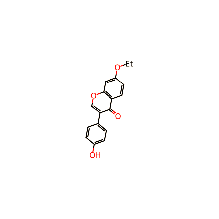 CCOc1ccc2c(=O)c(-c3ccc(O)cc3)coc2c1